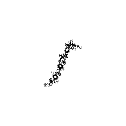 CC(C)(C)OC(=O)NC(C)(C)C(=O)N1CCN(C(=O)Nc2ccn(-c3ccc(COC(=O)N[C@H]4CC[C@H](NC(=O)OC(C)(C)C)CC4)c(F)c3)c(=O)n2)CC1